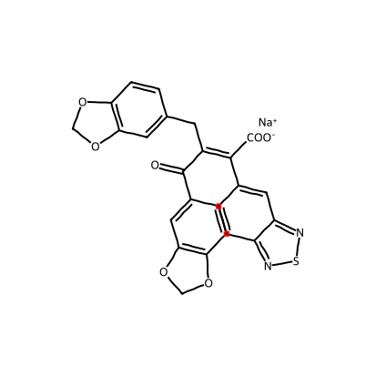 O=C([O-])/C(=C(\Cc1ccc2c(c1)OCO2)C(=O)c1ccc2c(c1)OCO2)c1ccc2nsnc2c1.[Na+]